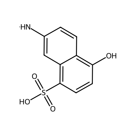 [NH]c1ccc2c(O)ccc(S(=O)(=O)O)c2c1